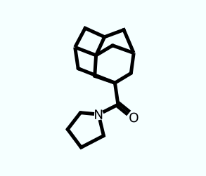 O=C(N1CCCC1)C12CC3CC4CC(C1)C4(C3)C2